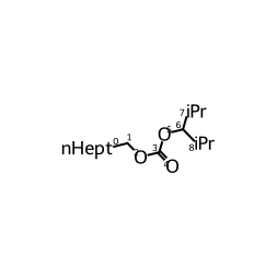 CCCCCCCCOC(=O)OC(C(C)C)C(C)C